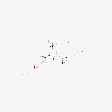 CC(C)(C)OC(=O)Nc1nc(/C(=N/OC(C)(C)C(=O)O)C(=O)N[C@@H]2C(=O)N[C@@H]2CNCCN)cs1